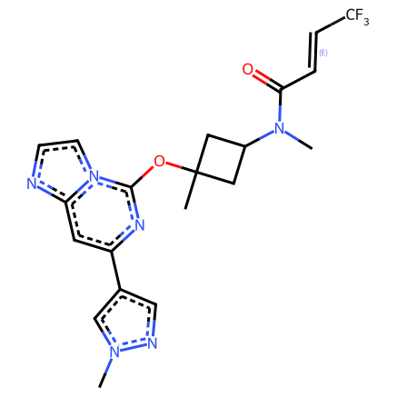 CN(C(=O)/C=C/C(F)(F)F)C1CC(C)(Oc2nc(-c3cnn(C)c3)cc3nccn23)C1